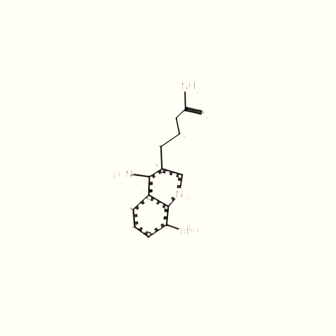 CCCCc1cccc2c(N)c(CCCC(N)=O)cnc12